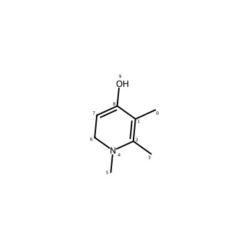 CC1=C(C)N(C)CC=C1O